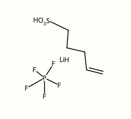 C=CCCCS(=O)(=O)O.FP(F)(F)(F)F.[LiH]